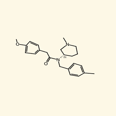 COc1ccc(CC(=O)N(Cc2ccc(C)cc2)[C@H]2CCCN(C)C2)cc1